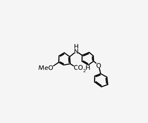 COc1ccc(Nc2ccc(Oc3ccccc3)cc2)c(C(=O)O)c1